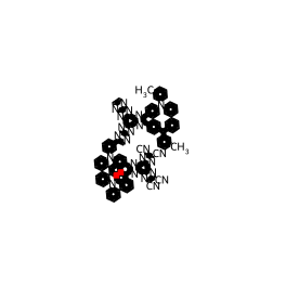 Cc1cccc(C(c2ccccc2)c2ccc(-c3nc4c(nc3-c3ccc(N(c5ccccc5)c5cccc(C)c5)cc3)c3nc5nccnc5nc3c3nc5nc(-c6cccc(N(c7ccccc7)c7ccc(-c8nc9c%10nc(C#N)c(C#N)nc%10c%10nc(C#N)c(C#N)nc%10c9nc8-c8ccc(N(c9ccccc9)c9ccccc9)c9ccccc89)c8ccccc78)c6)cnc5nc43)cc2)c1